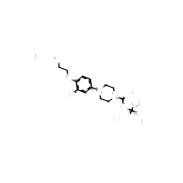 COCCOc1ccc(N2CCN(C(=O)OC(C)(C)C)CC2)cc1F